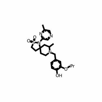 Cc1cncc(N2C3(CCN(Cc4ccc(O)c(OC(C)C)c4)C(C)C3)CCS2(=O)=O)n1